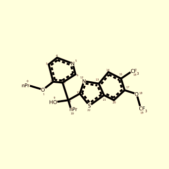 CCCOc1ccncc1C(O)(CCC)c1nc2cc(C(F)(F)F)c(OC(F)(F)F)cc2s1